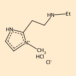 CCNCCc1[nH]cc[n+]1C.Cl.[Cl-]